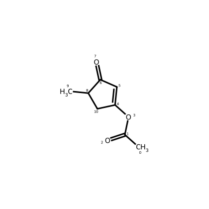 CC(=O)OC1=CC(=O)C(C)C1